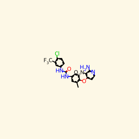 Cc1cc(NC(=O)Nc2ccc(Cl)c(C(F)(F)F)c2)ccc1Oc1ccnc(N)c1[N+](=O)[O-]